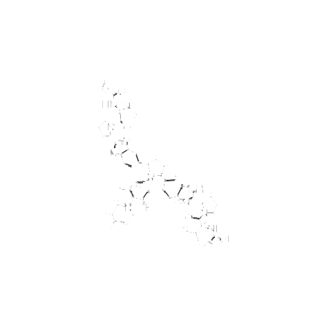 COC(=O)N[C@H](C(=O)N1CCC[C@H]1c1nc2ccc([C@H]3CC[C@H](c4ccc5nc([C@@H]6CCCN6C(=O)[C@@H](NC(=O)O)C(C)C)[nH]c5c4)N3c3cc(F)c(N4CCC(C)CC4)c(F)c3)cc2[nH]1)C(C)C